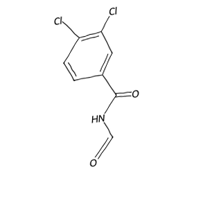 O=CNC(=O)c1ccc(Cl)c(Cl)c1